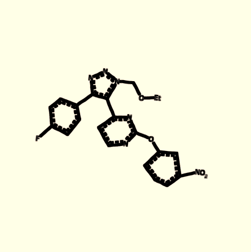 CCOCn1nnc(-c2ccc(F)cc2)c1-c1ccnc(Oc2cccc([N+](=O)[O-])c2)n1